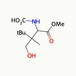 COC(=O)C(NC(=O)O)C(C)(CO)C(C)(C)C